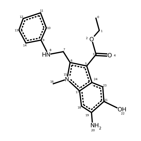 CCOC(=O)c1c(CNc2ccccc2)n(C)c2cc(N)c(O)cc12